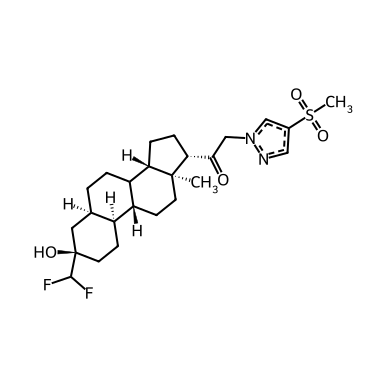 C[C@]12CC[C@H]3C(CC[C@@H]4C[C@@](O)(C(F)F)CC[C@@H]43)[C@@H]1CC[C@@H]2C(=O)Cn1cc(S(C)(=O)=O)cn1